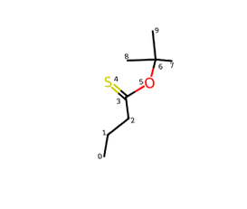 CCCC(=S)OC(C)(C)C